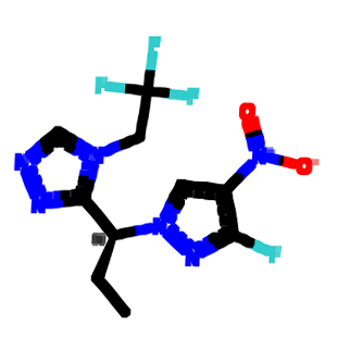 CC[C@@H](c1nncn1CC(F)(F)F)n1cc([N+](=O)[O-])c(F)n1